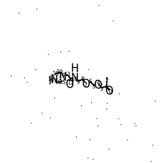 O=C(I)COCCOCCNC(=O)CN1CCN(I)CC1